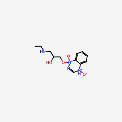 CCNCC(O)CO[N+]1([O-])N=C[NH+]([O-])c2ccccc21